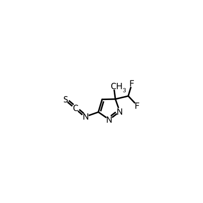 CC1(C(F)F)C=C(N=C=S)N=N1